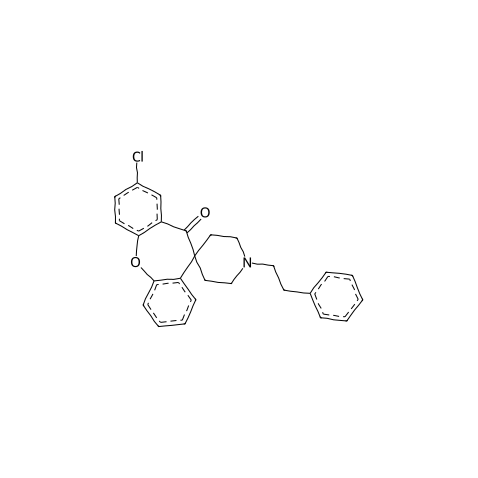 O=C1c2cc(Cl)ccc2Oc2ccccc2C12CCN(CCc1ccccc1)CC2